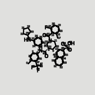 Cc1ccc(NC(=O)[C@H]2CCCN(C(=O)c3c(C)cccc3F)[C@H]2c2ccc(NC3CCCC3)cc2)cc1C(F)(F)F.O=S(=O)(O)c1ccc2ccccc2c1